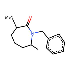 CNC1CCCC(C)N(Cc2ccccc2)C1=O